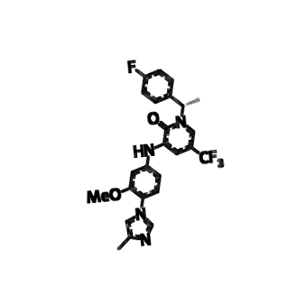 COc1cc(Nc2cc(C(F)(F)F)cn([C@@H](C)c3ccc(F)cc3)c2=O)ccc1-n1cnc(C)c1